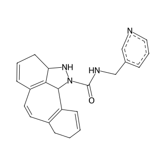 O=C(NCc1cccnc1)N1NC2CC=CC3=C2C1C1=C(C=C3)CCC=C1